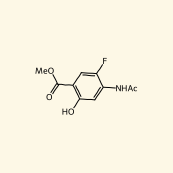 COC(=O)c1cc(F)c(NC(C)=O)cc1O